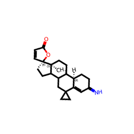 C[C@]12CCC3C(CC4(CC4)C4=CC(=N)CC[C@@H]43)C1CC[C@@]21C=CC(=O)O1